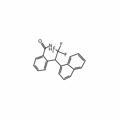 NC(=O)c1ccccc1C(c1cccc2ccccc12)C(F)(F)F